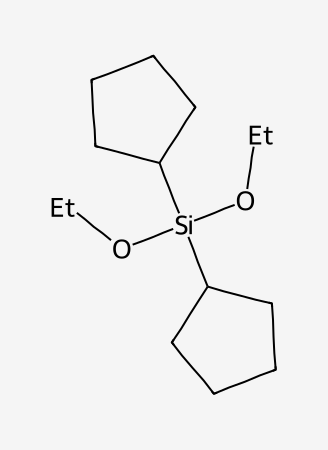 CCO[Si](OCC)(C1CCCC1)C1CCCC1